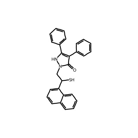 O=c1c(-c2ccccc2)c(-c2ccccc2)[nH]n1CC(S)c1cccc2ccccc12